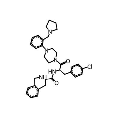 O=C(N[C@H](Cc1ccc(Cl)cc1)C(=O)N1CCN(c2ccccc2CN2CCCC2)CC1)[C@H]1Cc2ccccc2CN1